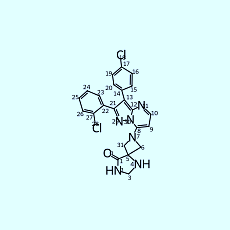 O=C1NCNC12CN(c1ccnc3c(-c4ccc(Cl)cc4)c(-c4ccccc4Cl)nn13)C2